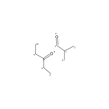 CC(C)C=O.CCC(=O)CC